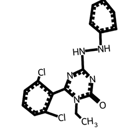 CCn1c(-c2c(Cl)cccc2Cl)nc(NNc2ccccc2)nc1=O